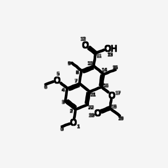 COc1cc(OC)c2c(C)c(C(=O)O)c(C)c(OC(C)=O)c2c1